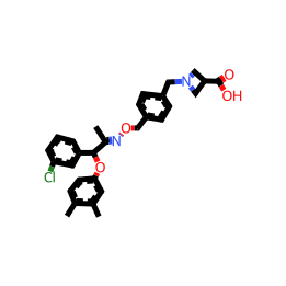 C/C(=N\OCc1ccc(CN2CC(C(=O)O)C2)cc1)C(Oc1ccc(C)c(C)c1)c1cccc(Cl)c1